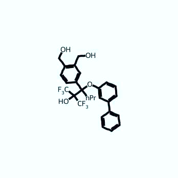 CCCC(Oc1cccc(-c2ccccc2)c1)(c1ccc(CO)c(CO)c1)C(O)(C(F)(F)F)C(F)(F)F